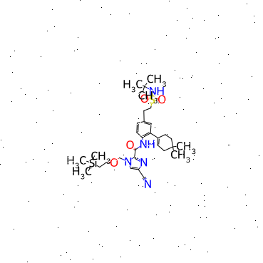 CC1(C)CC=C(c2cc(CCS(=O)(=O)NC(C)(C)C)ccc2NC(=O)c2nc(C#N)cn2COCC[Si](C)(C)C)CC1